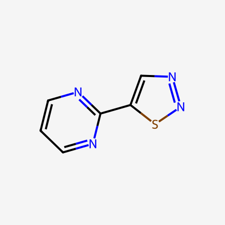 c1cnc(-c2cnns2)nc1